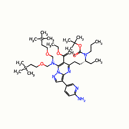 C=C(OCC)c1c(CC[C@@H](CC)N(CCC)C(=O)OC(C)(C)C)nc2c(-c3ccc(N)nc3)cnn2c1N(COCC[Si](C)(C)C)COCC[Si](C)(C)C